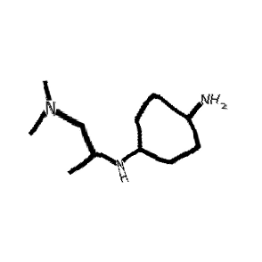 CC(CN(C)C)NC1CCC(N)CC1